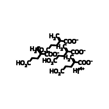 C=C(CCC(=O)O)C(=O)[O-].C=C(CCC(=O)O)C(=O)[O-].C=C(CCC(=O)O)C(=O)[O-].C=C(CCC(=O)O)C(=O)[O-].[Hf+4]